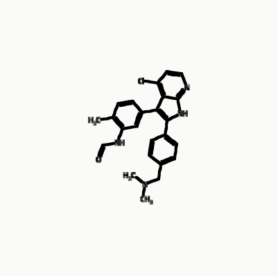 Cc1ccc(-c2c(-c3ccc(CN(C)C)cc3)[nH]c3nccc(Cl)c23)cc1NC=O